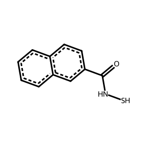 O=C(NS)c1ccc2ccccc2c1